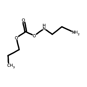 CCCOC(=O)ONCCN